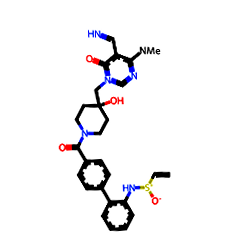 C=C[S+]([O-])Nc1ccccc1-c1ccc(C(=O)N2CCC(O)(Cn3cnc(NC)c(C=N)c3=O)CC2)cc1